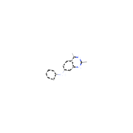 Cc1nc(C)c2ccc(Nc3ccccc3)cc2n1